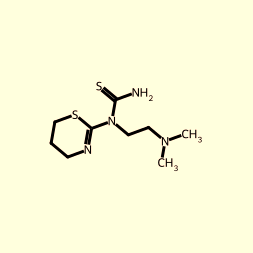 CN(C)CCN(C(N)=S)C1=NCCCS1